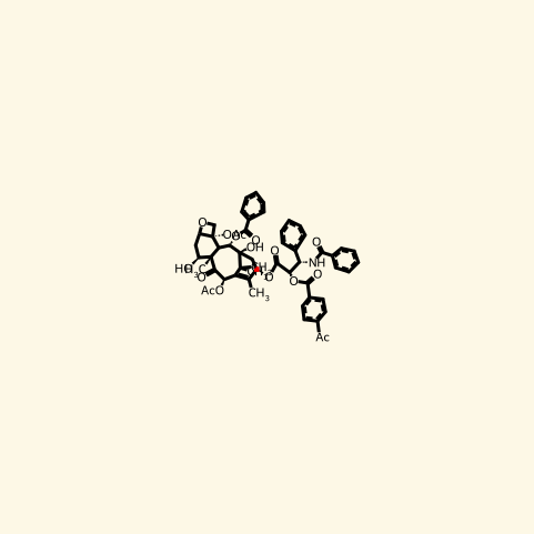 CC(=O)O[C@H]1C(=O)[C@@]2(C)C([C@H](OC(=O)c3ccccc3)[C@]3(O)C[C@H](OC(=O)[C@H](OC(=O)c4ccc(C(C)=O)cc4)[C@@H](NC(=O)c4ccccc4)c4ccccc4)C(C)=C1C3(C)C)[C@]1(OC(C)=O)COC1C[C@@H]2O